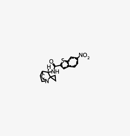 O=C(N[C@H]1C2CCN(CC2)C12CC2)c1cc2ccc([N+](=O)[O-])cc2s1